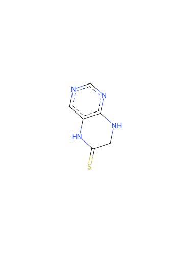 S=C1CNc2ncncc2N1